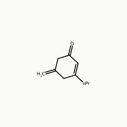 C=C1CC(=O)C=C(CCC)C1